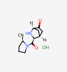 Cl.N#C[C@@H]1CCCN1C(=O)[C@H]1N[C@@H]2C[C@H]1CC2=O